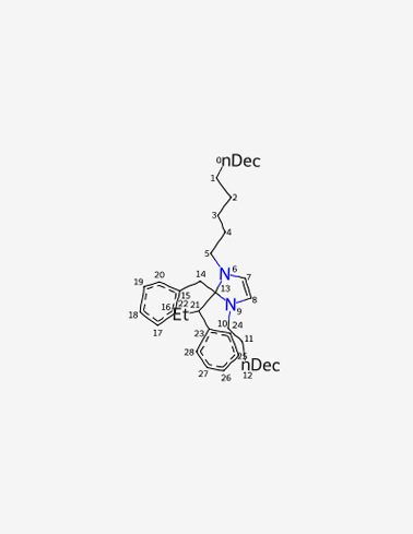 CCCCCCCCCCCCCCCN1C=CN(CCCCCCCCCCCC)C1(Cc1ccccc1)C(CC)c1ccccc1